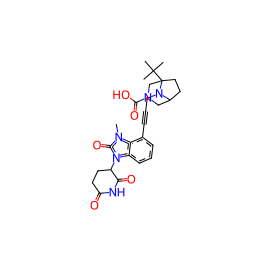 Cn1c(=O)n(C2CCC(=O)NC2=O)c2cccc(C#CCN3C4CCC3(C(C)(C)C)CN(C(=O)O)C4)c21